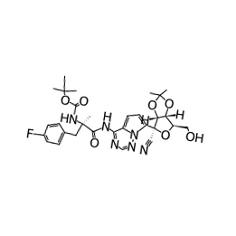 CC(C)(C)OC(=O)N[C@](C)(Cc1ccc(F)cc1)C(=O)Nc1ncnn2c([C@]3(C#N)O[C@H](CO)[C@H]4OC(C)(C)O[C@H]43)ccc12